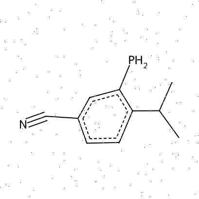 CC(C)c1ccc(C#N)cc1P